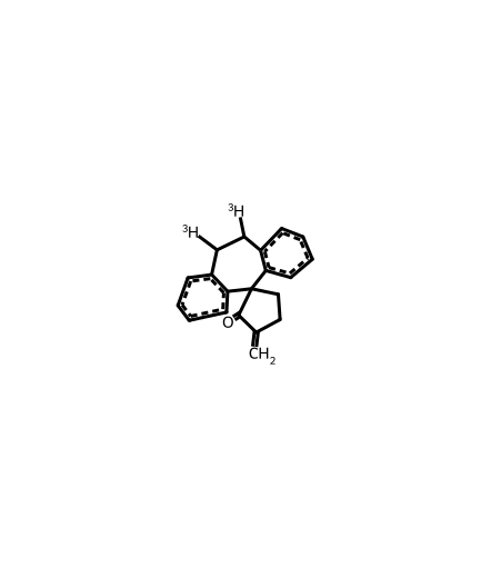 [3H]C1c2ccccc2C2(CCC(=C)C2=O)c2ccccc2C1[3H]